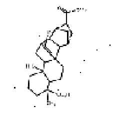 COC(=O)C1CC2CC1C1C3CC4C5(C)CCCC(C)(C(=O)O)C5CCC4(C=C3C(C)C)C21